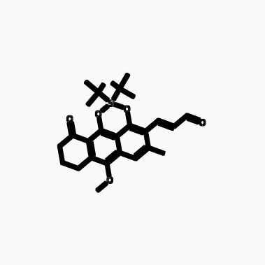 COc1c2c(c3c4c(c(/C=C/C=O)c(C)cc14)O[Si](C(C)(C)C)(C(C)(C)C)O3)C(=O)CCC2